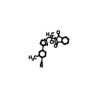 Cc1cc(-c2ccn(CC(C)(C)N3C(=O)c4ccccc4C3=O)n2)ccc1C#N